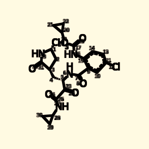 C[C@@H]1C[C@@H](C[C@H](NC(=O)c2cc(Cl)ccc2NC(=O)OC2CC2)C(=O)C(=O)NC2CC2)C(=O)N1